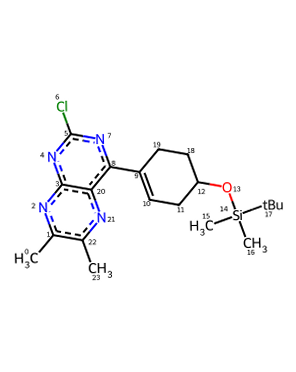 Cc1nc2nc(Cl)nc(C3=CCC(O[Si](C)(C)C(C)(C)C)CC3)c2nc1C